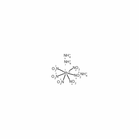 O=[N+]([O-])[Rh-3]([N+](=O)[O-])([N+](=O)[O-])([N+](=O)[O-])([N+](=O)[O-])[N+](=O)[O-].[NH4+].[NH4+].[NH4+]